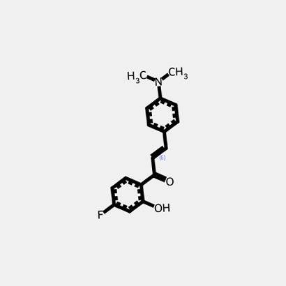 CN(C)c1ccc(/C=C/C(=O)c2ccc(F)cc2O)cc1